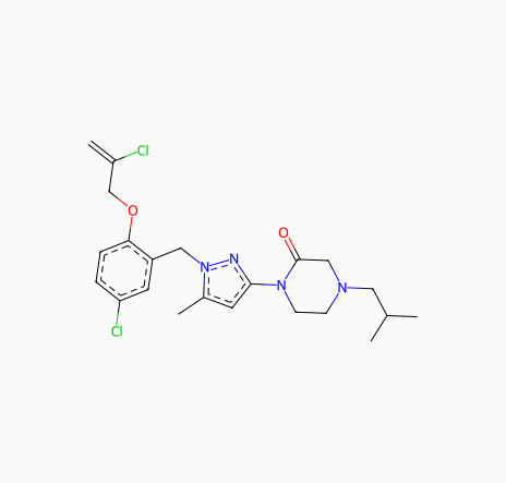 C=C(Cl)COc1ccc(Cl)cc1Cn1nc(N2CCN(CC(C)C)CC2=O)cc1C